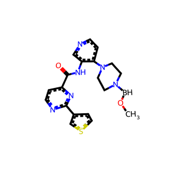 COBN1CCN(c2ccncc2NC(=O)c2ccnc(-c3ccsc3)n2)CC1